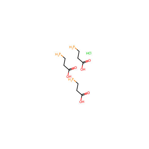 Cl.O=C(O)CCP.O=C(O)CCP.O=C(O)CCP